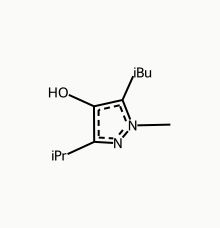 CCC(C)c1c(O)c(C(C)C)nn1C